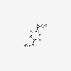 CCCOC1CCC(CC(C)(C)C)CC1